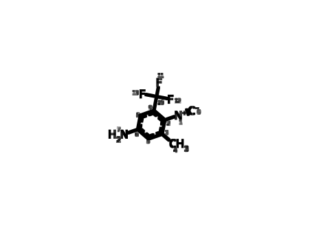 [C-]#[N+]c1c(C)cc(N)cc1C(F)(F)F